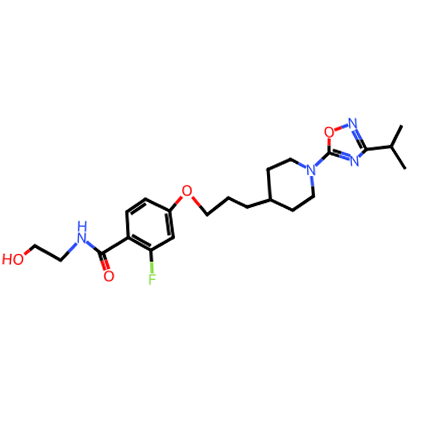 CC(C)c1noc(N2CCC(CCCOc3ccc(C(=O)NCCO)c(F)c3)CC2)n1